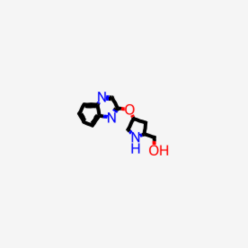 OCC1CC(Oc2cnc3ccccc3n2)CN1